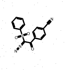 N#Cc1ccc(C(=O)C(=[N+]=[N-])S(=O)(=O)c2ccccc2)cc1